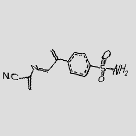 C=C(C#N)/N=C/C(=C)c1ccc(S(N)(=O)=O)cc1